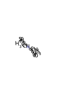 CC1(C)c2cc(/C=C/c3ccc4c(c3)C(C)(C)c3cc(N5c6ccccc6Oc6ccccc65)ccc3-4)ccc2-c2ccc(N3C4=C(C=CCC4)Sc4ccccc43)cc21